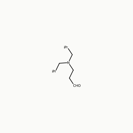 CC(C)CN(CCC=O)CC(C)C